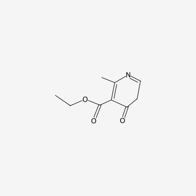 CCOC(=O)C1=C(C)N=CCC1=O